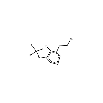 Fc1c(CCS)cccc1OC(F)(F)F